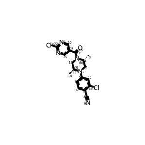 C[C@@H]1CN(c2ccc(C#N)c(Cl)c2)[C@@H](C)CN1C(=O)c1cnc(Cl)nc1